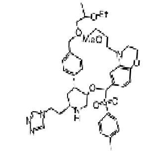 CCOC(C)COCc1ccc([C@H]2C[C@H](CCn3cnnc3)NC[C@@H]2OC(c2ccc3c(c2)N(CCCOC)CCO3)S(=O)(=O)c2ccc(C)cc2)cc1